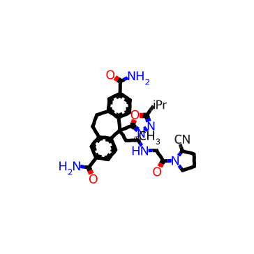 CC(C)c1nnc(C2(C[C@@H](C)NCC(=O)N3CCCC3C#N)c3ccc(C(N)=O)cc3CCc3cc(C(N)=O)ccc32)o1